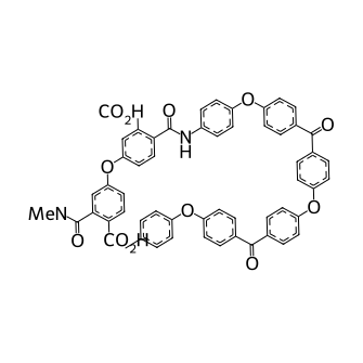 CNC(=O)c1cc(Oc2ccc(C(=O)Nc3ccc(Oc4ccc(C(=O)c5ccc(Oc6ccc(C(=O)c7ccc(Oc8ccc(C)cc8)cc7)cc6)cc5)cc4)cc3)c(C(=O)O)c2)ccc1C(=O)O